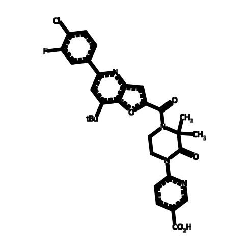 CC(C)(C)c1cc(-c2ccc(Cl)c(F)c2)nc2cc(C(=O)N3CCN(c4ccc(C(=O)O)cn4)C(=O)C3(C)C)oc12